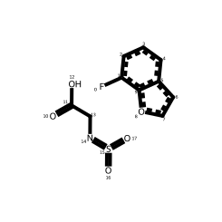 Fc1cccc2ccoc12.O=C(O)CN=S(=O)=O